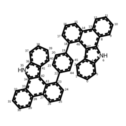 c1ccc2c(c1)[nH]c1c3ccccc3c3cccc(-c4ccc(-c5cccc6c7ccccc7c7[nH]c8ccccc8c7c56)cc4)c3c21